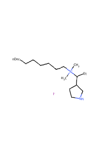 CCCCCCCCCCCCCCCC[N+](C)(C)C(CC)C1CCNC1.[I-]